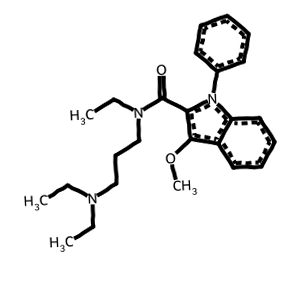 CCN(CC)CCCN(CC)C(=O)c1c(OC)c2ccccc2n1-c1ccccc1